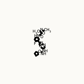 Cc1nc(C)c(C(=O)Nc2ccc(F)c(-c3cn4cc(NC(=N)OC5CCCC5)cnc4n3)c2)o1